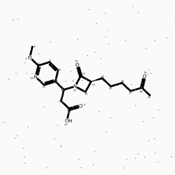 COc1ccc(C(CC(=O)O)N2C[C@H](CCCCC(C)=O)C2=O)cn1